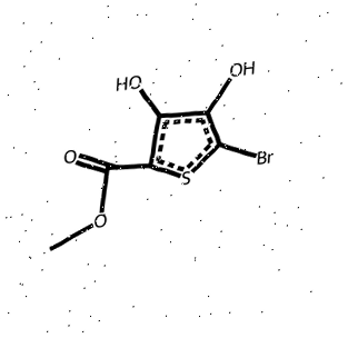 COC(=O)c1sc(Br)c(O)c1O